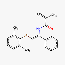 C=C(C)C(=O)NC(=CSc1c(C)cccc1C)c1ccccc1